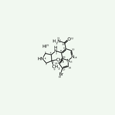 CC1(C)CNCC1Nc1c(C(N)=O)cnn2cc(Br)cc12.I